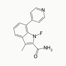 Cc1c(C(N)=O)n(F)c2c(-c3ccncc3)cccc12